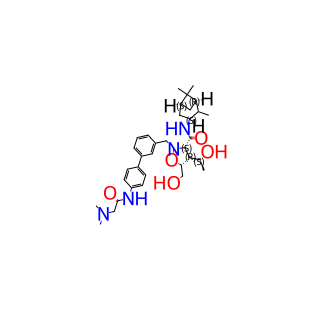 CC1[C@@H](NC(=O)[C@@H]2[C@H]([C@H](C)O)C(CO)ON2Cc2cccc(-c3ccc(NC(=O)CN(C)C)cc3)c2)C[C@@H]2C[C@H]1C2(C)C